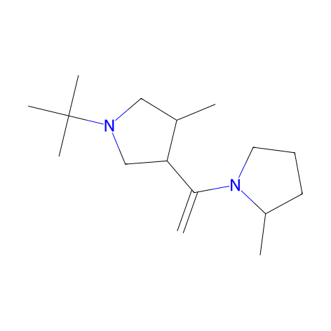 C=C(C1CN(C(C)(C)C)CC1C)N1CCCC1C